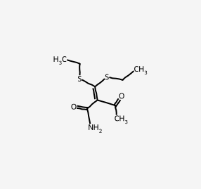 CCSC(SCC)=C(C(C)=O)C(N)=O